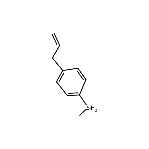 C=CCc1ccc([SiH2]C)cc1